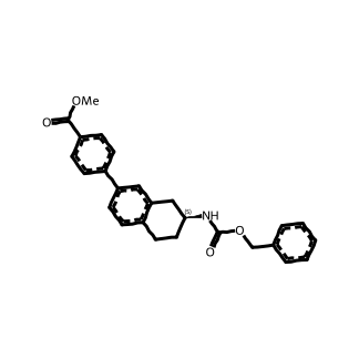 COC(=O)c1ccc(-c2ccc3c(c2)C[C@@H](NC(=O)OCc2ccccc2)CC3)cc1